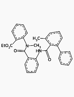 CCOC(=O)c1ccccc1N(C)C(=O)c1ccccc1NC(=O)c1c(C)cccc1-c1ccccc1